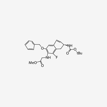 COC(=O)CNc1c(OCc2ccccc2)cc2c(c1F)C[C@H](NC(=O)OC(C)(C)C)C=C2